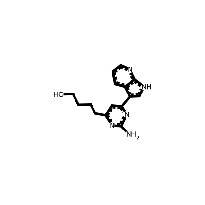 Nc1nc(CCCCO)cc(-c2c[nH]c3ncccc23)n1